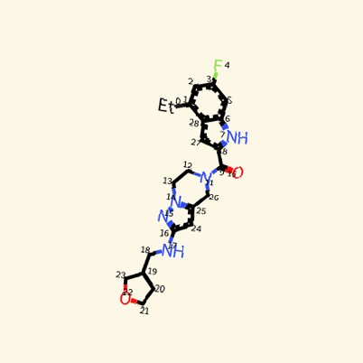 CCc1cc(F)cc2[nH]c(C(=O)N3CCn4nc(NCC5CCOC5)cc4C3)cc12